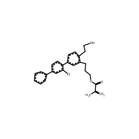 C=C(C)C(=O)OCCCc1cc(-c2ccc(-c3ccccc3)cc2CC)ccc1CCO